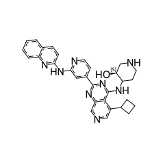 O[C@H]1CNCCC1Nc1nc(-c2ccnc(Nc3ccc4ccccc4n3)c2)nc2cncc(C3CCC3)c12